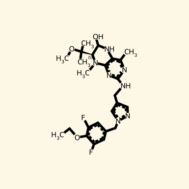 CCOc1c(F)cc(Cn2cc(CNc3nc(C)c4c(n3)N(C)[C@@H](C(C)(C)OC)C(O)N4)cn2)cc1F